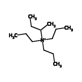 CCC[N+](CCC)(CCC)C(C)CC